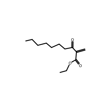 C=C(C(=O)CCCCCCC)C(=O)OCC